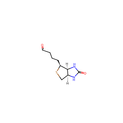 O=CCCC[C@@H]1SC[C@@H]2NC(=O)N[C@@H]21